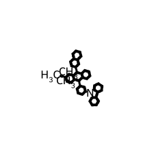 CC(C)(C)c1ccc2c(-c3cccc(-n4c5ccccc5c5ccccc54)c3)c3ccccc3c(-c3ccc4ccccc4c3)c2c1